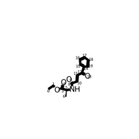 CCOC(=O)[C@H](C)NC(=O)/C=C/C(=O)c1ccccc1